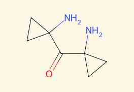 NC1(C(=O)C2(N)CC2)CC1